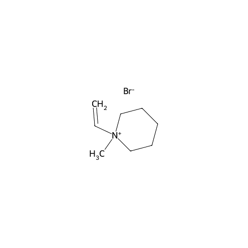 C=C[N+]1(C)CCCCC1.[Br-]